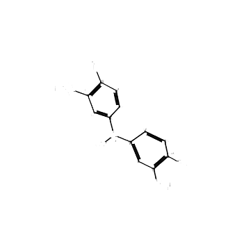 O=S(=O)(O)c1cc([S+]([O-])c2ccc(F)c(S(=O)(=O)O)c2)ccc1F